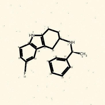 C[C@H](NC1CCc2[nH]c3ccc(F)cc3c2C1)c1ccccc1